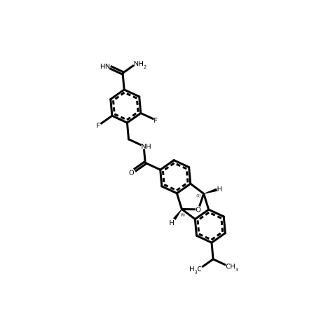 CC(C)c1ccc2c(c1)[C@H]1O[C@@H]2c2ccc(C(=O)NCc3c(F)cc(C(=N)N)cc3F)cc21